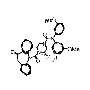 COc1cccc(N(C(=O)N2CCN(C(=O)N3c4ccccc4CC(=O)c4ccccc43)[C@H](C(=O)O)C2)c2cccc(OC)c2)c1